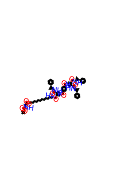 C[C@@H](NC(=O)OC(C)(C)C)C(=O)OCCCCCCCCCCCCNC(=O)[C@@H]1CN(C(=O)c2ccc(C(=O)N3C[C@@H](C(=O)N[C@H]4C[C@@H]4c4ccccc4)[C@H](C(=O)N[C@H]4C[C@@H]4c4ccccc4)C3)cc2)C[C@H]1C(=O)N[C@H]1C[C@@H]1c1ccccc1